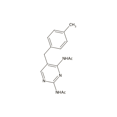 CC(=O)Nc1ncc(Cc2ccc(C)cc2)c(NC(C)=O)n1